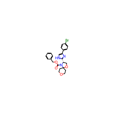 O=C(OCc1ccccc1)N1[C@H](c2nc(-c3ccc(Br)cc3)c[nH]2)COC12CCOCC2